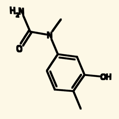 Cc1ccc(N(C)C(N)=O)cc1O